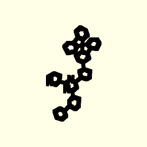 c1ccc(-c2cccc(-c3cc(-c4cccc(-c5ccc6c(c5)-c5ccccc5C65c6ccccc6-c6ccccc65)c4)nc(-c4cccnc4)n3)c2)cc1